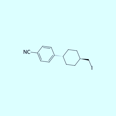 N#Cc1ccc([C@H]2CC[C@H](CI)CC2)cc1